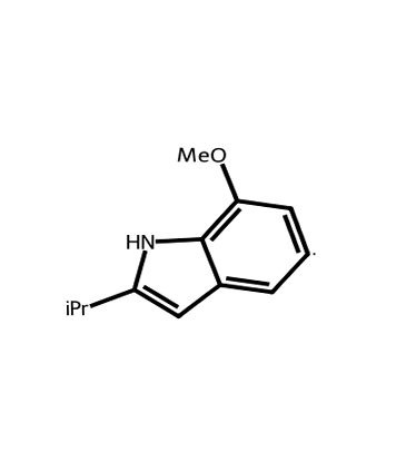 COc1c[c]cc2cc(C(C)C)[nH]c12